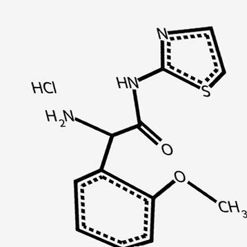 COc1ccccc1C(N)C(=O)Nc1nccs1.Cl